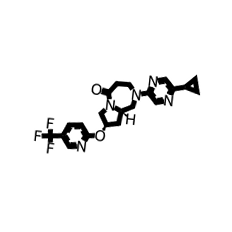 O=C1CCN(c2cnc(C3CC3)cn2)C[C@H]2C[C@@H](Oc3ccc(C(F)(F)F)cn3)CN12